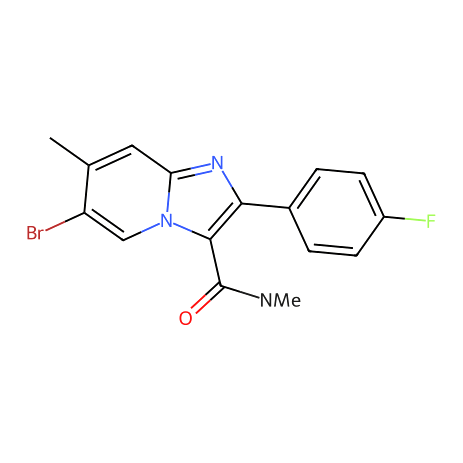 CNC(=O)c1c(-c2ccc(F)cc2)nc2cc(C)c(Br)cn12